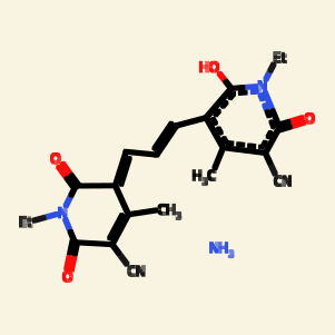 CCN1C(=O)C(=CC=Cc2c(C)c(C#N)c(=O)n(CC)c2O)C(C)=C(C#N)C1=O.N